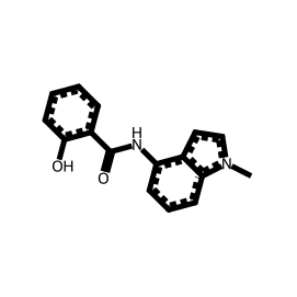 Cn1ccc2c(NC(=O)c3ccccc3O)cccc21